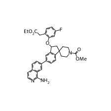 CCOC(=O)Cc1ccc(F)cc1OC1CC2(CCN(C(=O)OC)CC2)c2ccc(-c3ccc4ccnc(N)c4c3)cc21